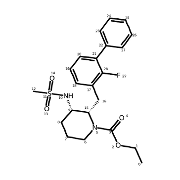 CCOC(=O)N1CCC[C@H](NS(C)(=O)=O)[C@@H]1Cc1cccc(-c2ccccc2)c1F